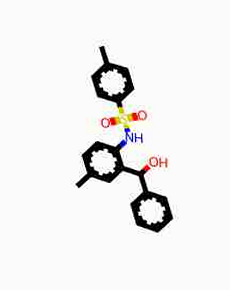 Cc1ccc(S(=O)(=O)Nc2ccc(C)cc2C(O)c2ccccc2)cc1